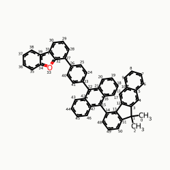 CC1(C)c2cc3ccccc3cc2-c2c(-c3c4ccccc4c(-c4ccc(-c5cccc6c5oc5ccccc56)cc4)c4ccccc34)cccc21